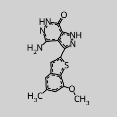 COc1cc(C)cc2cc(-c3n[nH]c4c(=O)[nH]nc(N)c34)sc12